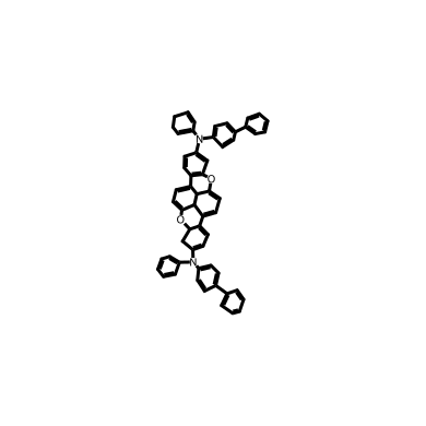 C1=CC(N(c2ccc(-c3ccccc3)cc2)c2ccc3c(c2)OC2=CC=C4C5=CC=C(N(c6ccccc6)c6ccc(-c7ccccc7)cc6)CC5OC5=CC=C3C2C54)=CCC1